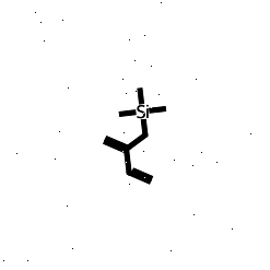 C=CC(=C)C[Si](C)(C)C